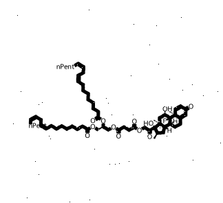 CCCCC/C=C\C/C=C\CCCCCCCC(=O)OC[C@H](COC(=O)CCC(=O)OCC(=O)[C@@]1(O)[C@H](C)C[C@H]2[C@@H]3CCC4=CC(=O)C=C[C@]4(C)[C@@]3(F)[C@@H](O)C[C@@]21C)OC(=O)CCCCCCC/C=C\C/C=C\CCCCC